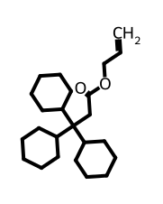 C=CCOC(=O)CC(C1CCCCC1)(C1CCCCC1)C1CCCCC1